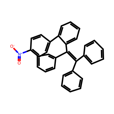 O=[N+]([O-])c1ccc(-c2ccccc2C(=C(c2ccccc2)c2ccccc2)c2ccccc2)cc1